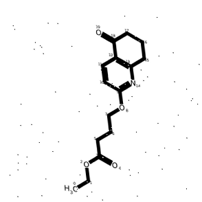 CCOC(=O)CCCOc1ccc2c(n1)CCCC2=O